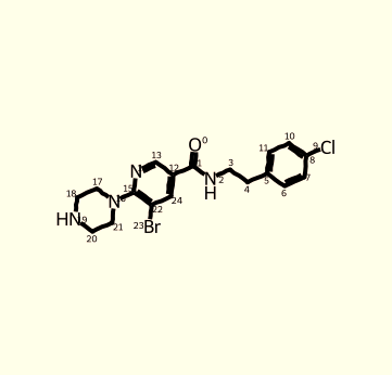 O=C(NCCc1ccc(Cl)cc1)c1cnc(N2CCNCC2)c(Br)c1